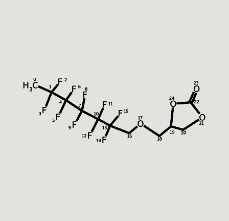 CC(F)(F)C(F)(F)C(F)(F)C(F)(F)C(F)(F)COCC1COC(=O)O1